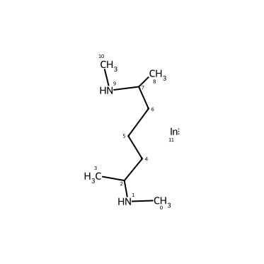 CNC(C)CCCC(C)NC.[In]